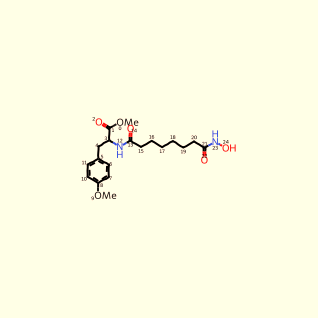 COC(=O)C(Cc1ccc(OC)cc1)NC(=O)CCCCCCC(=O)NO